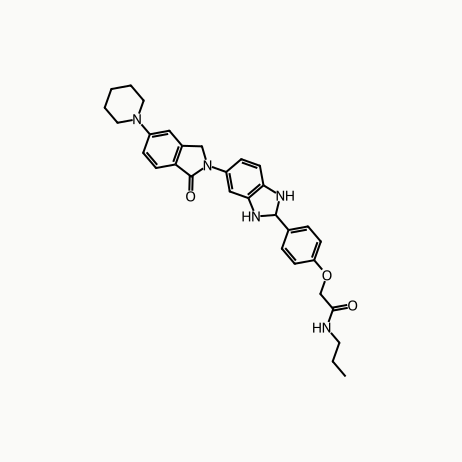 CCCNC(=O)COc1ccc(C2Nc3ccc(N4Cc5cc(N6CCCCC6)ccc5C4=O)cc3N2)cc1